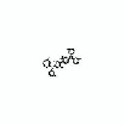 CC1=CC=CCC(N(C2=CC(C)=C(C3=CC=C(N(c4cccc(C)c4)c4cccc(C)c4)CC3(C)C)CO2)c2cccc(C)c2)=C1